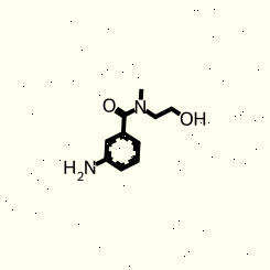 CN(CCO)C(=O)c1cccc(N)c1